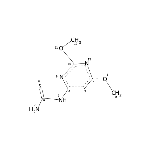 COc1cc(NC(N)=S)nc(OC)n1